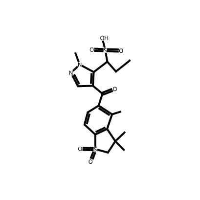 CCC(c1c(C(=O)c2ccc3c(c2C)C(C)(C)CS3(=O)=O)cnn1C)S(=O)(=O)O